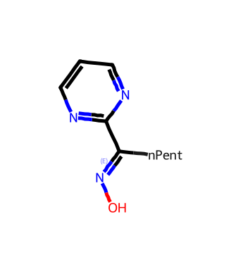 CCCCC/C(=N\O)c1ncccn1